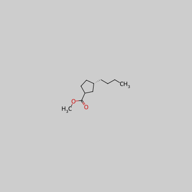 CCCC[C@H]1CCC(C(=O)OC)C1